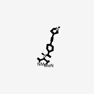 C=C(NC)C(C(=C)NC)N(C)C(=C)c1ccc(C#Cc2ccn(C)c2)cc1